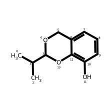 CC(C)C1OCc2cccc(O)c2O1